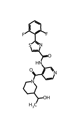 CC(O)C1CCCN(C(=O)c2ccncc2NC(=O)c2csc(-c3c(F)cccc3F)n2)C1